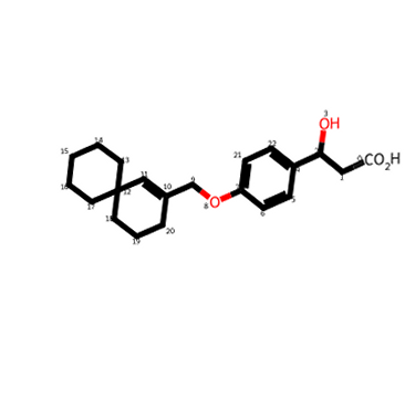 O=C(O)CC(O)c1ccc(OCC2=CC3(CCCCC3)CCC2)cc1